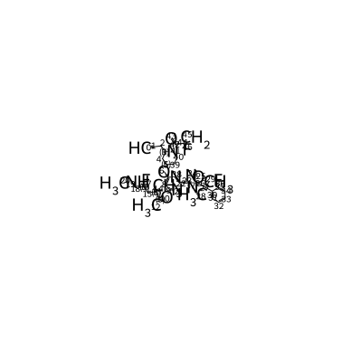 C#CC[C@@H]1C[C@@H](Oc2cc(O[C@@H](C)[C@@H](C)C[C@H](F)CNC)nc(-c3noc(C(C)(C)c4ccccc4F)n3)n2)CCN1C(=O)C(=C)F